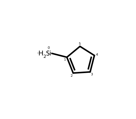 [SiH2]C1=CC=CC1